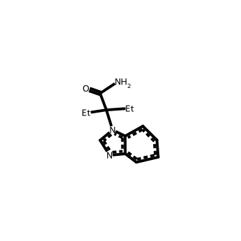 CCC(CC)(C(N)=O)n1cnc2ccccc21